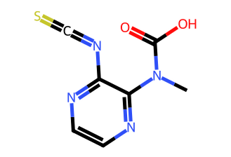 CN(C(=O)O)c1nccnc1N=C=S